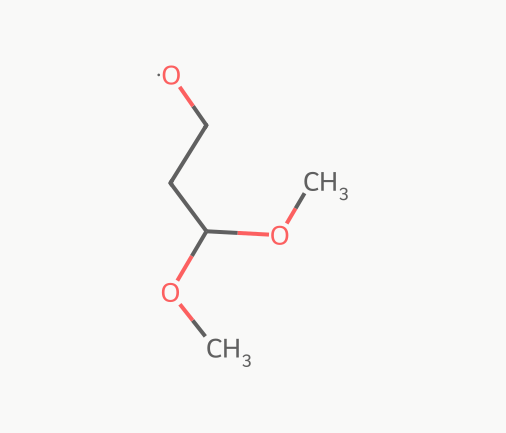 COC(CC[O])OC